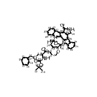 CO[C@@H]1[C@H](N(C)C(=O)[C@H](COCc2ccccc2)NC(=O)OC(C)(C)C)C[C@H]2O[C@]1(C)n1c3ccccc3c3c4c(c5c6ccccc6n2c5c31)C(=O)NC4